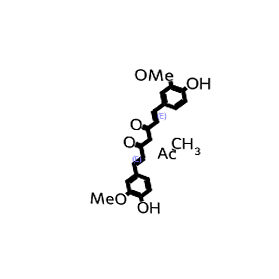 CC(C)=O.COc1cc(/C=C/C(=O)CC(=O)/C=C/c2ccc(O)c(OC)c2)ccc1O